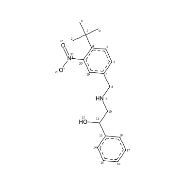 CC(C)(C)c1ccc(CNCC(O)c2ccccc2)cc1[N+](=O)[O-]